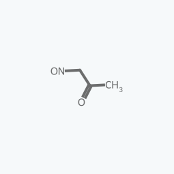 CC(=O)CN=O